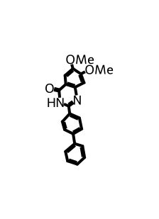 COc1cc2nc(-c3ccc(-c4ccccc4)cc3)[nH]c(=O)c2cc1OC